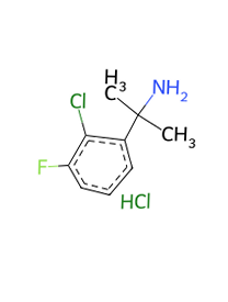 CC(C)(N)c1cccc(F)c1Cl.Cl